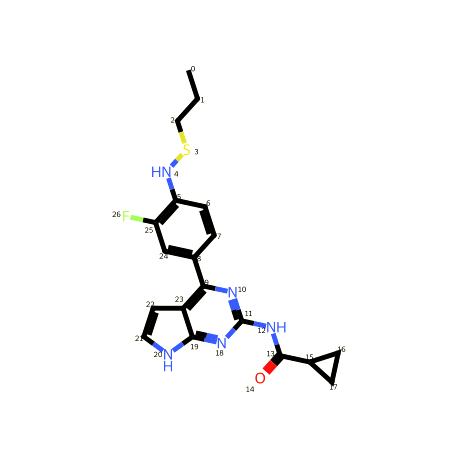 CCCSNc1ccc(-c2nc(NC(=O)C3CC3)nc3[nH]ccc23)cc1F